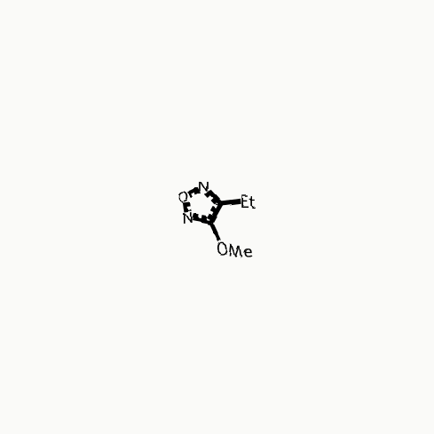 CCc1nonc1OC